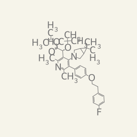 Cc1nc(C)c([C@H](OC(C)(C)C)C(=O)OC(C)C)c(N2CC3C(C2)C3(C)C)c1-c1ccc(OCCc2ccc(F)cc2)cc1